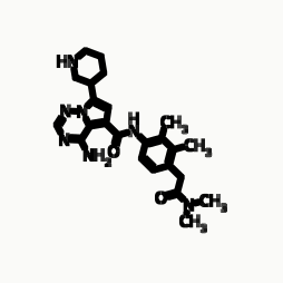 Cc1c(CC(=O)N(C)C)ccc(NC(=O)c2cc(C3CCCNC3)n3ncnc(N)c23)c1C